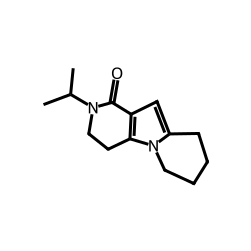 CC(C)N1CCc2c(cc3n2CCCC3)C1=O